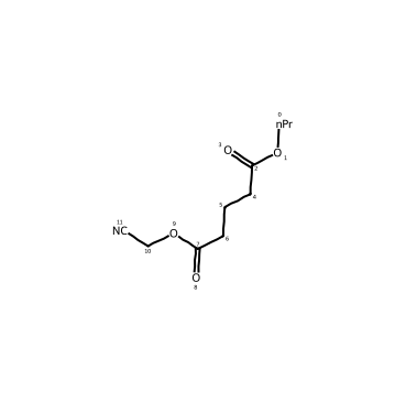 CCCOC(=O)CCCC(=O)OCC#N